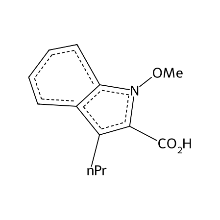 CCCc1c(C(=O)O)n(OC)c2ccccc12